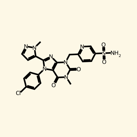 Cn1nccc1-c1nc2c(c(=O)n(C)c(=O)n2Cc2ccc(S(N)(=O)=O)cn2)n1-c1ccc(Cl)cc1